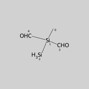 C[Si]([SiH3])(C=O)C=O